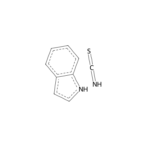 N=C=S.c1ccc2[nH]ccc2c1